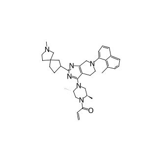 C=CC(=O)N1C[C@H](C)N(c2nc(C3CCC4(CCN(C)C4)C3)nc3c2CCN(c2cccc4cccc(C)c24)C3)C[C@H]1C